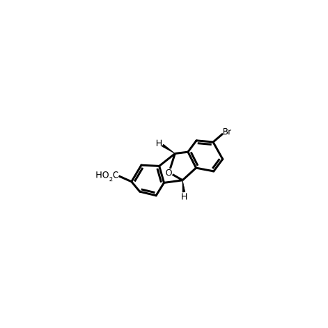 O=C(O)c1ccc2c(c1)[C@H]1O[C@@H]2c2ccc(Br)cc21